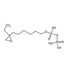 CCC1(CCCCCCOP(=O)(O)OP(=O)(O)O)CO1